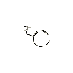 OCC1=CC=CCCCC1